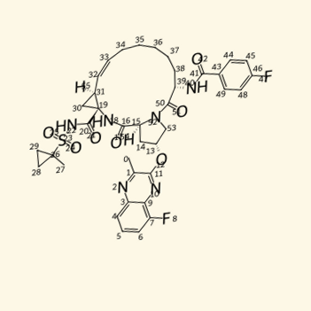 Cc1nc2cccc(F)c2nc1O[C@@H]1C[C@H]2C(=O)N[C@]3(C(=O)NS(=O)(=O)C4(C)CC4)C[C@H]3C=CCCCCC[C@H](NC(=O)c3ccc(F)cc3)C(=O)N2C1